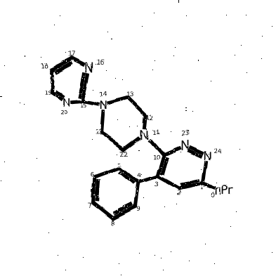 CCCc1cc(-c2ccccc2)c(N2CCN(c3ncccn3)CC2)nn1